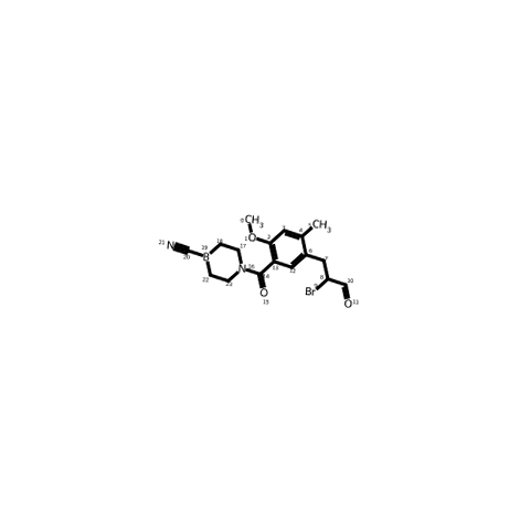 COc1cc(C)c(CC(Br)C=O)cc1C(=O)N1CCB(C#N)CC1